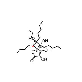 CCCCCC(O)(CCCCC)[C@@](O)(CCCCC)[C@@]1(CCCCC)OC(=O)C(O)=C1O